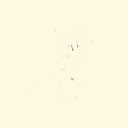 N#Cc1cnc(NCc2ccccc2Cl)nc1NC[C@]12CC3C[C@H](C1)[C@@H](N[C@H]1CC[C@@H](N4CC(O)C4)CC1)[C@@H](C3)C2